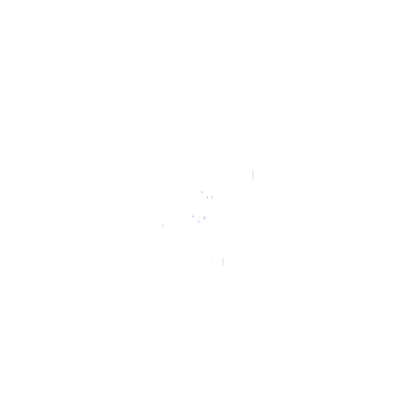 CC1=CC(C)N(C[O])N1C